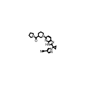 N#Cc1cnn(C2(c3nc4ccc(N5CCCC(C(=O)N6CCCC6)C5)nc4[nH]3)CC2)c1